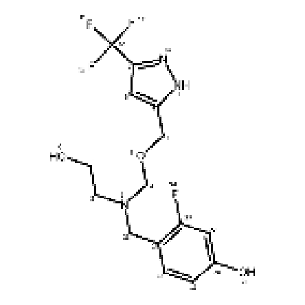 OCCN(COCc1cc(C(F)(F)F)n[nH]1)Cc1ccc(O)cc1F